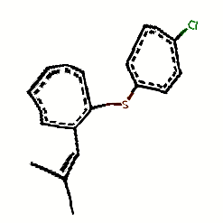 CC(C)=Cc1ccccc1Sc1ccc(Cl)cc1